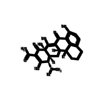 CCN(C)[C@@H]1C(O)=C(C(N)=O)C(=O)[C@@]2(O)C(O)=C3C(=O)c4c(O)ccc5c4[C@H](CCC5)[C@H]3C[C@@H]12